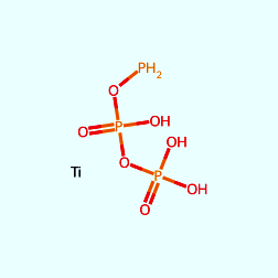 O=P(O)(O)OP(=O)(O)OP.[Ti]